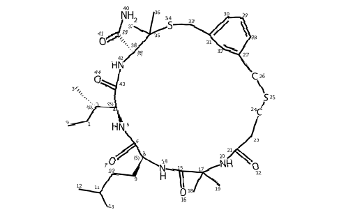 CC[C@H](C)[C@@H]1NC(=O)[C@H](CCC(C)C)NC(=O)C(C)(C)NC(=O)CCSCc2cccc(c2)CSC(C)(C)[C@@H](C(N)=O)NC1=O